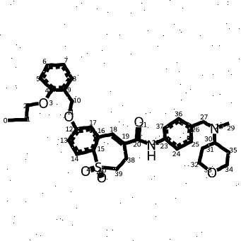 CCCOc1ccccc1COc1ccc2c(c1)C=C(C(=O)Nc1ccc(CN(C)C3CCOCC3)cc1)CCS2(=O)=O